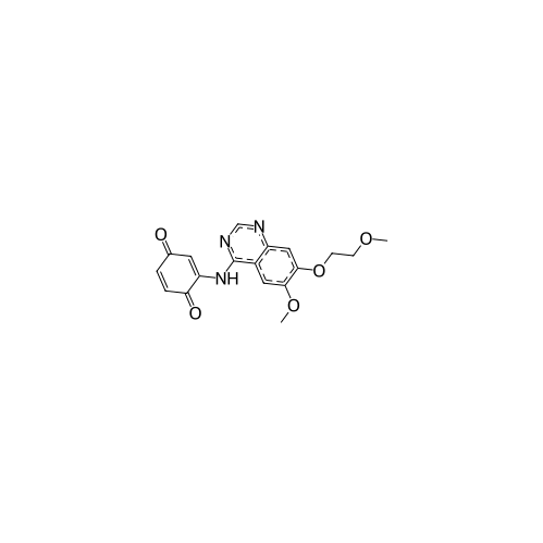 COCCOc1cc2ncnc(NC3=CC(=O)C=CC3=O)c2cc1OC